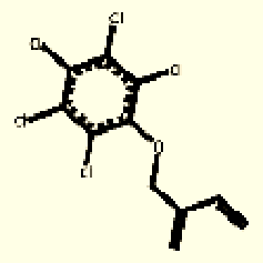 C=CC(=C)COc1c(Cl)c(Cl)c(Cl)c(Cl)c1Cl